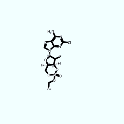 CC(=O)COP1(=O)OC[C@H]2O[C@@H](n3cnc4c(N)nc(Cl)nc43)C(F)[C@H]2O1